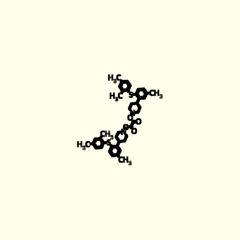 Cc1ccc(Sc2ccc(C)cc2C2CCN(OC(=O)C(=O)ON3CCC(c4cc(C)ccc4Sc4ccc(C)cc4C)CC3)CC2)c(C)c1